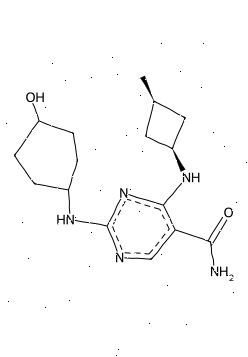 C[C@H]1C[C@@H](Nc2nc(NC3CCC(O)CC3)ncc2C(N)=O)C1